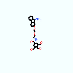 NC1c2ccccc2-c2ccc(OCCOCCNC(=O)c3cc(C=O)c(C=O)c(C=O)c3)cc21